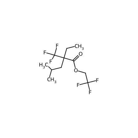 CCC(CC(C)C)(C(=O)OCC(F)(F)F)C(F)(F)F